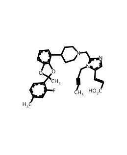 CC#CCn1c(/C=C/C(=O)O)cnc1CN1CCC(c2cccc3c2OC(C)(c2ccc(C)cc2F)O3)CC1